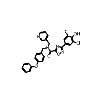 O=C(c1nc(-c2cc(Cl)c(O)c(Cl)c2)no1)N(Cc1ccc(Oc2ccccc2)cc1)Cc1cccnc1